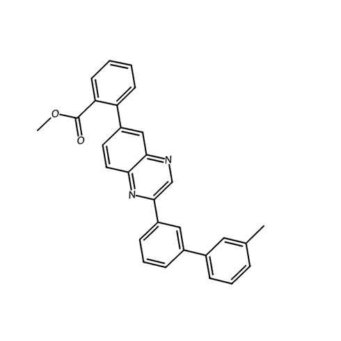 COC(=O)c1ccccc1-c1ccc2nc(-c3cccc(-c4cccc(C)c4)c3)cnc2c1